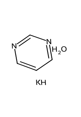 O.[KH].c1cncnc1